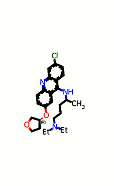 CCN(CC)CCCC(C)Nc1c2ccc(Cl)cc2nc2ccc(O[C@@H]3CCOC3)cc12